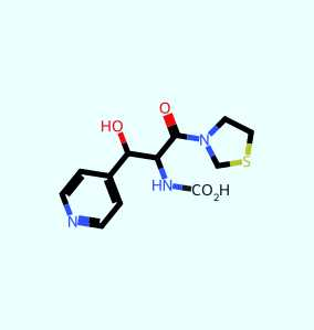 O=C(O)NC(C(=O)N1CCSC1)C(O)c1ccncc1